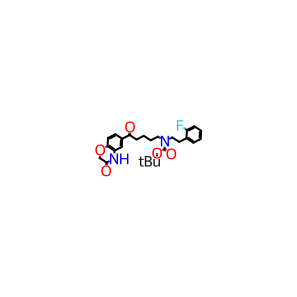 CC(C)(C)OC(=O)N(CCCCC(=O)c1ccc2c(c1)NC(=O)CO2)CCc1ccccc1F